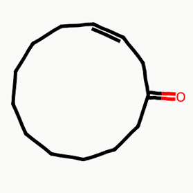 O=C1CC=CCCCCCCCCC1